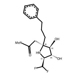 CNC(=O)C[C@@]1(CCCc2ccccc2)N[C@H](C(F)F)[C@@H](O)[C@@H]1O